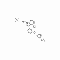 C[Si](C)(C)CCOCn1cc(-c2cccc(OCc3cnn(C(F)(F)F)c3)c2)c2c(Cl)nccc21